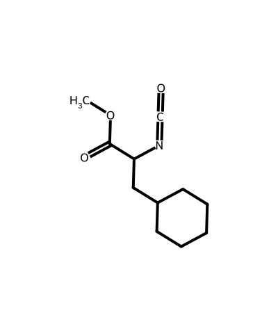 COC(=O)C(CC1CCCCC1)N=C=O